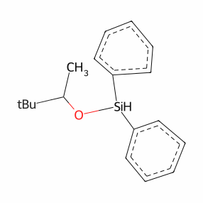 CC(O[SiH](c1ccccc1)c1ccccc1)C(C)(C)C